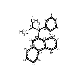 CC(C)N(c1ccccc1)c1cc2ccccc2c2ccccc12